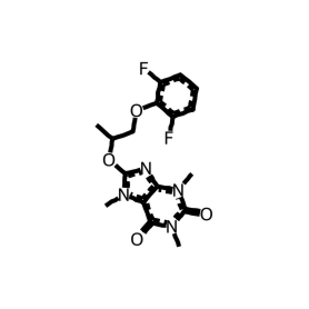 CC(COc1c(F)cccc1F)Oc1nc2c(c(=O)n(C)c(=O)n2C)n1C